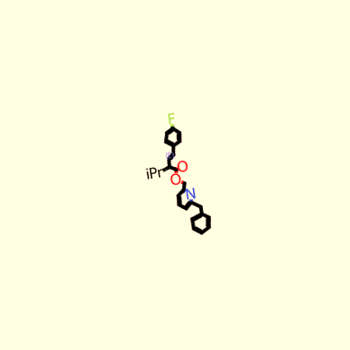 CC(C)C(/C=C/c1ccc(F)cc1)C(=O)OCc1cccc(Cc2ccccc2)n1